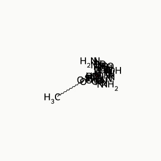 CCCCCCCCCCCCCCCCCC(=O)OCCSP(=O)(O)OC[C@H]1O[C@@H](n2cnc3c(N)ncnc32)C(OP(=O)(O)OC[C@H]2O[C@@H](n3cnc4c(N)ncnc43)C(OP(=O)(O)OC[C@]34CCCOC3C(O)[C@H](n3cnc5c(N)ncnc53)O4)C2O)C1OCI